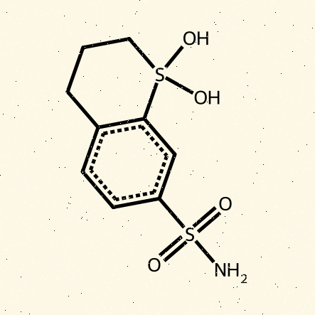 NS(=O)(=O)c1ccc2c(c1)S(O)(O)CCC2